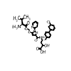 CC(C)[C@H](N)C(=O)OCOc1cc(C(=O)N[C@H](Cc2ccc(-c3cccc(Cl)c3)cc2)CC(O)C(=O)O)nn1-c1ccccn1